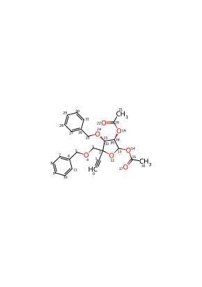 C#CC1(COCc2ccccc2)OC(OC(C)=O)[C@H](OC(C)=O)[C@@H]1OCc1ccccc1